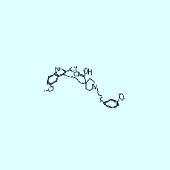 COc1cccc(SCCCN2CCC(CCCc3c(Cl)cnc4ccc(OC)cc34)(C(=O)O)CC2)c1